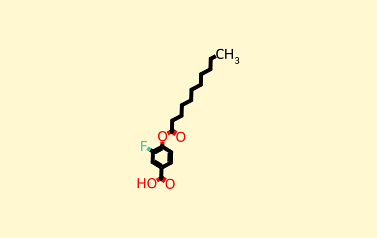 CCCCCCCCCCC(=O)Oc1ccc(C(=O)O)cc1F